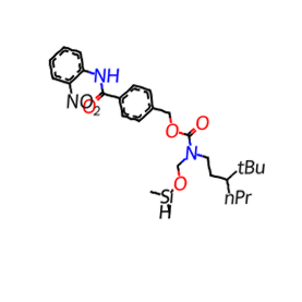 CCCC(CCN(CO[SiH](C)C)C(=O)OCc1ccc(C(=O)Nc2ccccc2[N+](=O)[O-])cc1)C(C)(C)C